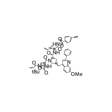 C#Cc1ccc(S(=O)(=O)NC(=O)[C@@]2(NC(=O)[C@@H]3C[C@@H](Cc4cc(-c5ccccc5)nc5cc(OC)ccc45)CN3C(=O)[C@H](CNC(=O)C=C)NC(=O)OC(C)(C)C)C[C@H]2C=C)cc1